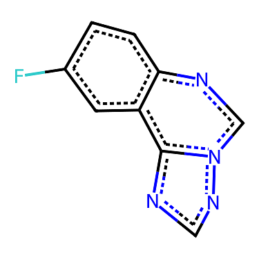 Fc1ccc2ncn3ncnc3c2c1